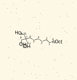 CCCCCCCCCCCCCCC(CO)(CO)CO